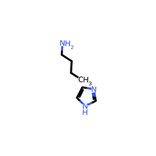 CCCCN.c1c[nH]cn1